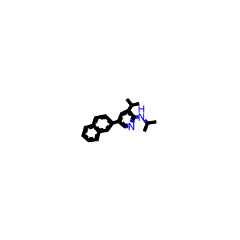 CC(C)Nc1ncc(-c2ccc3ccccc3c2)cc1C(C)C